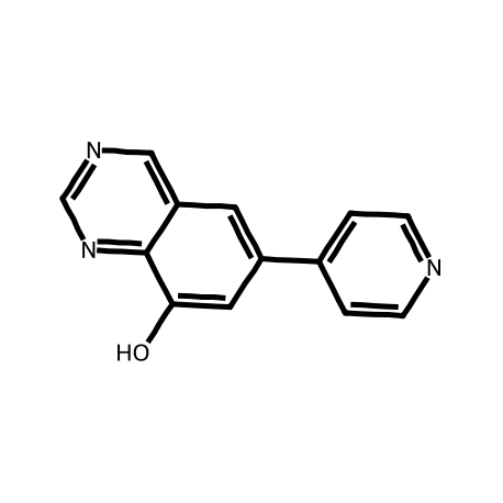 Oc1cc(-c2ccncc2)cc2cncnc12